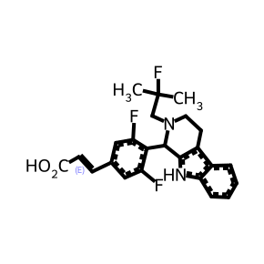 CC(C)(F)CN1CCc2c([nH]c3ccccc23)C1c1c(F)cc(/C=C/C(=O)O)cc1F